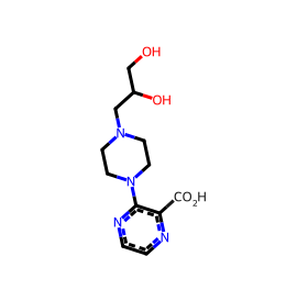 O=C(O)c1nccnc1N1CCN(CC(O)CO)CC1